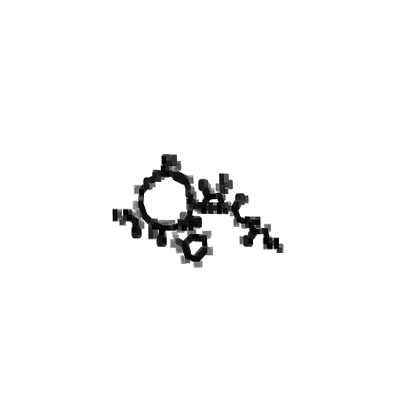 C[C@H](NC(=O)CNC(=O)CN)C(=O)NN1CC#CN(C)CCCC[C@@H](C(N)=O)NC(=O)[C@@H](Cc2ccccc2)NC1=O